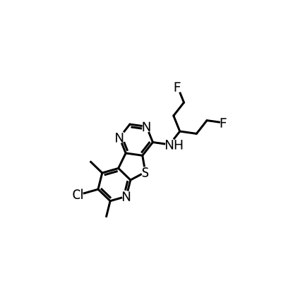 Cc1nc2sc3c(NC(CCF)CCF)ncnc3c2c(C)c1Cl